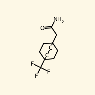 NC(=O)CC12CCC(C(F)(F)F)(CC1)CC2